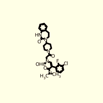 CN(C)C(=O)/C(=C\N(C=O)CC(=O)N1CCC(N2CCc3ccccc3NC2=O)CC1)c1cccc(Cl)c1F